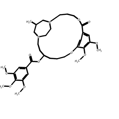 COc1cc(C(=O)OC2CCCOc3cc(cc(OC)c3OC)C(=O)OCCCN3CCN(CC2)CC(C)C3)cc(OC)c1OC